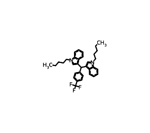 CCCCCn1cc(C(c2ccc(C(F)(F)F)cc2)c2cn(CCCCC)c3ccccc23)c2ccccc21